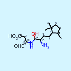 CC1CCC(C)(C)C1CCC(N)C(O)N[C@@H](C=O)CC(=O)O